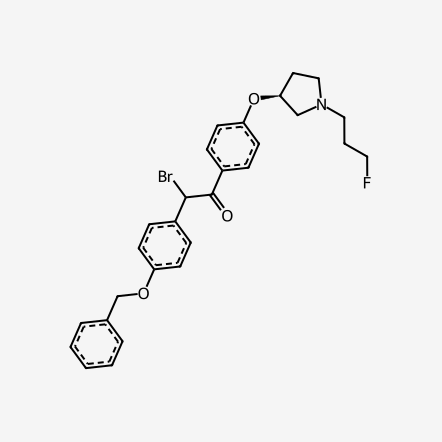 O=C(c1ccc(O[C@H]2CCN(CCCF)C2)cc1)C(Br)c1ccc(OCc2ccccc2)cc1